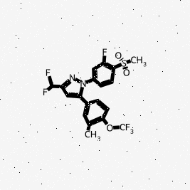 Cc1cc(-c2cc(C(F)F)nn2-c2ccc(S(C)(=O)=O)c(F)c2)ccc1OC(F)(F)F